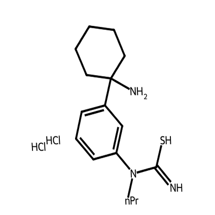 CCCN(C(=N)S)c1cccc(C2(N)CCCCC2)c1.Cl.Cl